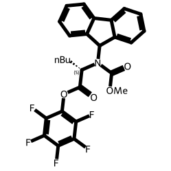 CCCC[C@@H](C(=O)Oc1c(F)c(F)c(F)c(F)c1F)N(C(=O)OC)C1c2ccccc2-c2ccccc21